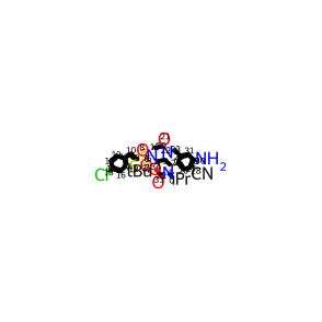 CC(C)N(CC1CN(S(=O)(=O)c2cc3ccc(Cl)cc3s2)CC(=O)N1Cc1ccc(C#N)c(N)c1)C(=O)OC(C)(C)C